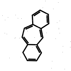 C1=CCC2=CC=c3ccccc3=CC2=C1